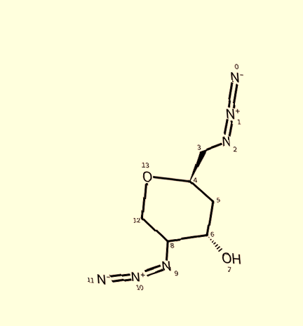 [N-]=[N+]=NC[C@H]1C[C@H](O)C(N=[N+]=[N-])CO1